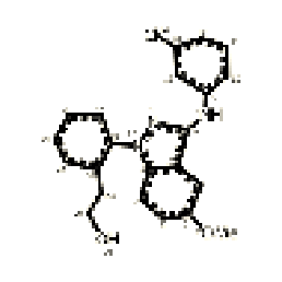 COc1ccc2c(c1)c(Nc1cccc(Cl)c1)nn2-c1ccccc1CCO